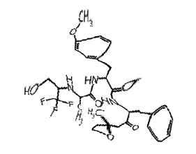 COc1ccc(CC(NC(=O)C(C)NC(CO)C(F)(F)F)C(=O)NC(Cc2ccccc2)C(=O)C2(C)CO2)cc1